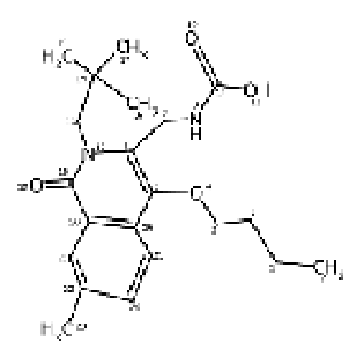 CCCCOc1c(CNC(=O)O)n(CC(C)(C)C)c(=O)c2cc(C)ccc12